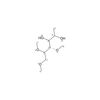 COCC(OC)[C@@H](OC)C(O)C(C)O